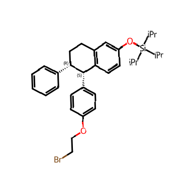 CC(C)[Si](Oc1ccc2c(c1)CC[C@@H](c1ccccc1)[C@H]2c1ccc(OCCBr)cc1)(C(C)C)C(C)C